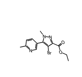 CCOC(=O)c1nn(C)c(-c2ccc(C)nc2)c1Br